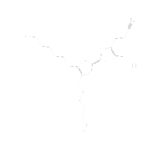 CCCCCCSC1=C(SCCCCCC)SC(=C2SC(CCC#N)=C(SC)S2)S1